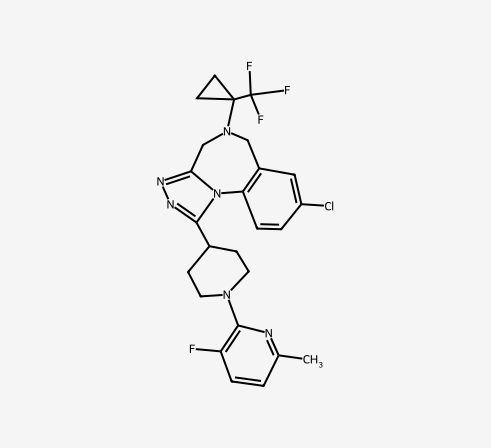 Cc1ccc(F)c(N2CCC(c3nnc4n3-c3ccc(Cl)cc3CN(C3(C(F)(F)F)CC3)C4)CC2)n1